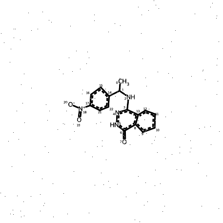 CC(Nc1n[nH]c(=O)c2ccccc12)c1ccc([N+](=O)[O-])cc1